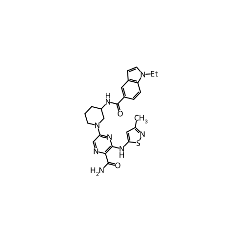 CCn1ccc2cc(C(=O)NC3CCCN(c4cnc(C(N)=O)c(Nc5cc(C)ns5)n4)C3)ccc21